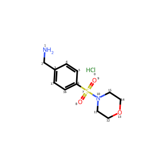 Cl.NCc1ccc(S(=O)(=O)N2CCOCC2)cc1